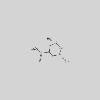 COC(=O)C1CCN[C@H](C)C1.Cl